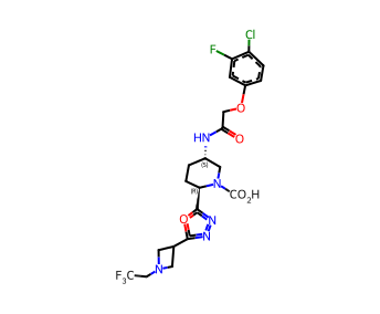 O=C(COc1ccc(Cl)c(F)c1)N[C@H]1CC[C@H](c2nnc(C3CN(CC(F)(F)F)C3)o2)N(C(=O)O)C1